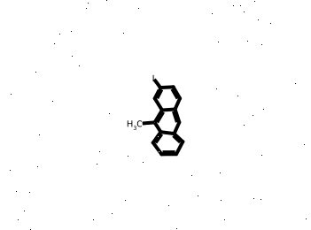 Cc1c2ccccc2cc2ccc(I)cc12